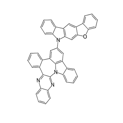 c1ccc2c(c1)-c1nc3ccccc3nc1-n1c3ccccc3c3cc(-n4c5ccccc5c5cc6c(cc54)oc4ccccc46)cc-2c31